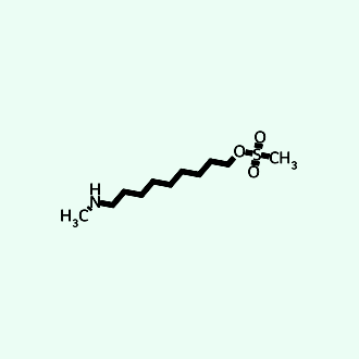 CNCCCCCCCCCOS(C)(=O)=O